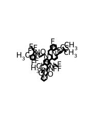 CSC(C)(C)C#Cc1ccc(-c2ccc(Cl)c3c(N(C(=O)N4CCCC4)[S+](C)[O-])nn(CC(F)(F)F)c23)c(C(Cc2cc(F)cc(F)c2)NC(=O)Cn2nc(C(F)(F)F)c3c2C(F)(F)C[C@@H]3C)n1